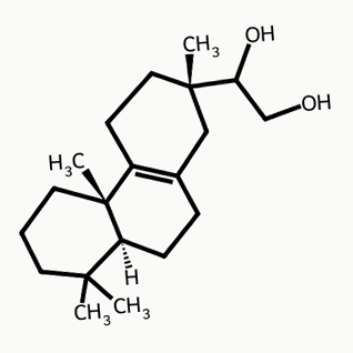 CC1(C)CCC[C@]2(C)C3=C(CC[C@@H]12)C[C@@](C)(C(O)CO)CC3